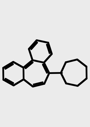 C1=CC2=c3ccccc3=C([C]3CCCCCC3)C=CC2C=C1